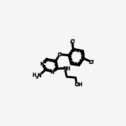 Nc1ncc(Oc2ccc(Cl)cc2Cl)c(NCCO)n1